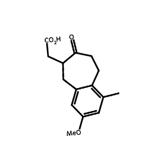 COc1cc(C)c2c(c1)CC(CC(=O)O)C(=O)CC2